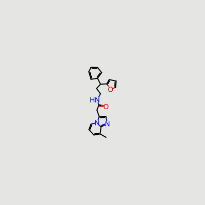 Cc1cccn2c(CC(=O)NCCC(c3ccccc3)c3ccco3)cnc12